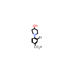 CCc1cc(C(=O)O)ccc1N1CCC(O)CC1